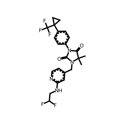 CC1(C)C(=O)N(c2ccc(C3(C(F)(F)F)CC3)cc2)C(=O)N1Cc1ccnc(NCC(F)F)c1